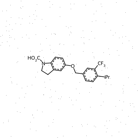 CC(C)c1ccc(COc2ccc3c(c2)CCN3C(=O)O)cc1C(F)(F)F